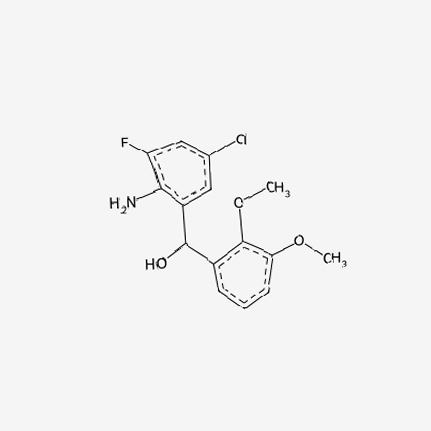 COc1cccc(C(O)c2cc(Cl)cc(F)c2N)c1OC